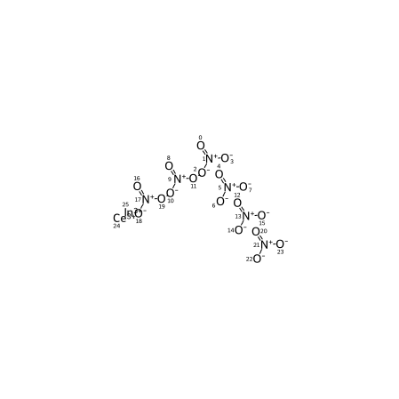 O=[N+]([O-])[O-].O=[N+]([O-])[O-].O=[N+]([O-])[O-].O=[N+]([O-])[O-].O=[N+]([O-])[O-].O=[N+]([O-])[O-].[Ce+3].[In+3]